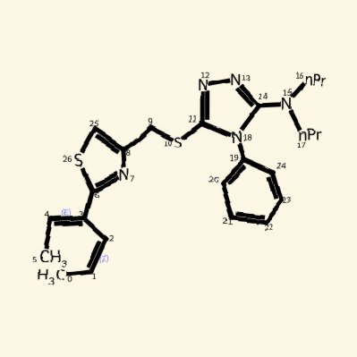 C/C=C\C(=C/C)c1nc(CSc2nnc(N(CCC)CCC)n2-c2ccccc2)cs1